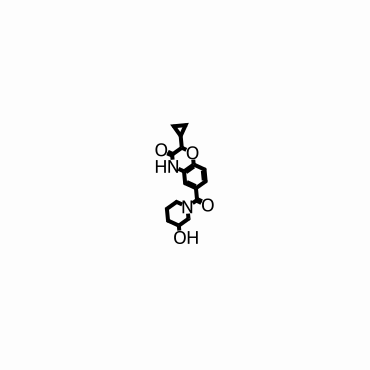 O=C1Nc2cc(C(=O)N3CCCC(O)C3)ccc2OC1C1CC1